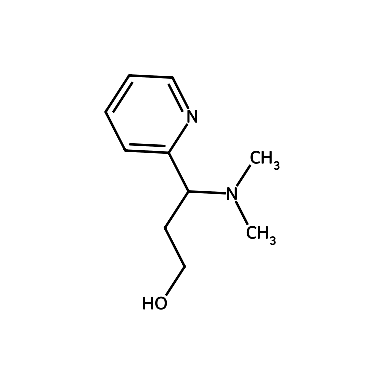 CN(C)C(CCO)c1ccccn1